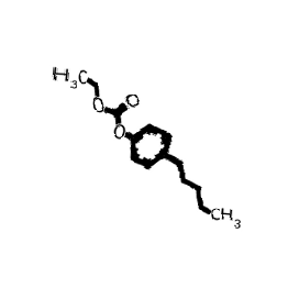 CCCCCc1ccc(OC(=O)OCC)cc1